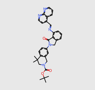 CC(C)(C)OC(=O)N1Cc2cc(N3Cc4cccc(N=Cc5ccnc6ncccc56)c4C3=O)ccc2C(C)(C)C1